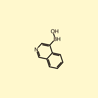 OBc1cncc2ccccc12